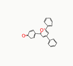 O=C1C=CC(c2cc(-c3ccccc3)cc(-c3ccccc3)[o+]2)=CC1